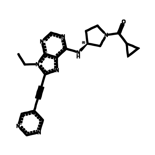 CCn1c(C#Cc2cncnc2)nc2c(N[C@H]3CCN(C(=O)C4CC4)C3)ncnc21